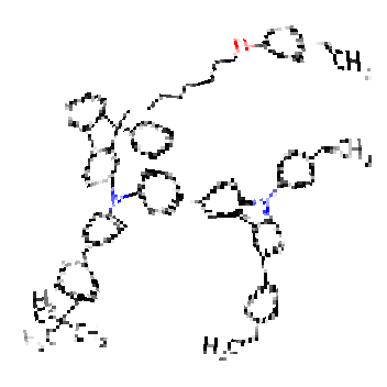 C=Cc1ccc(OCCCCCCCCC2(c3ccccc3)c3ccccc3-c3ccc(N(c4ccc(-c5ccc(C(C)(C)C)cc5)cc4)c4ccc(-c5ccc6c(c5)c5cc(-c7ccc(C=C)cc7)ccc5n6-c5ccc(C=C)cc5)cc4)cc32)cc1